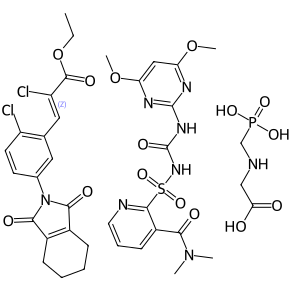 CCOC(=O)/C(Cl)=C/c1cc(N2C(=O)C3=C(CCCC3)C2=O)ccc1Cl.COc1cc(OC)nc(NC(=O)NS(=O)(=O)c2ncccc2C(=O)N(C)C)n1.O=C(O)CNCP(=O)(O)O